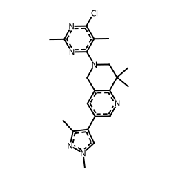 Cc1nc(Cl)c(C)c(N2Cc3cc(-c4cn(C)nc4C)cnc3C(C)(C)C2)n1